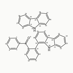 O=C(c1ccccc1)c1ccccc1-c1cccc2c1[nH]c1ccccc12.c1ccc2c(c1)[nH]c1ccccc12